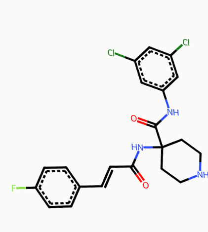 O=C(C=Cc1ccc(F)cc1)NC1(C(=O)Nc2cc(Cl)cc(Cl)c2)CCNCC1